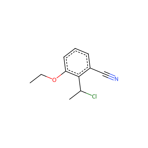 CCOc1cccc(C#N)c1C(C)Cl